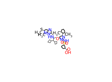 Cc1cccc(C)c1-c1cc(OCC(NCc2cnc3cc(C4(C)CC4)n(C)c3n2)C(C2CCC2)C2CCC2)nc(NS(=O)(=O)c2cccc(C(=O)O)c2)n1